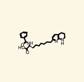 O=C(N[C@@H](CCCCCCCc1ccc2c(n1)NCCC2)C(=O)O)c1ccccc1